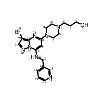 OCCCN1CCN(c2cc(NCc3cccnc3)n3ncc(Br)c3n2)CC1